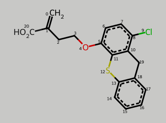 C=C(CCOc1ccc(Cl)c2c1Sc1ccccc1C2)C(=O)O